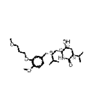 COCCCOc1cc(C[C@H](C[C@@H]2NC(=O)[C@H](C(C)C)C[C@@H]2O)C(C)C)ccc1OC